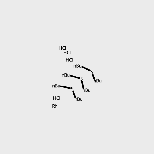 CCCCSCCCC.CCCCSCCCC.CCCCSCCCC.Cl.Cl.Cl.Cl.[Rh]